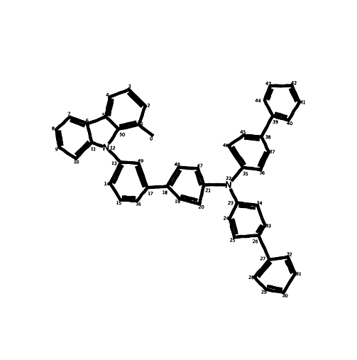 Cc1cccc2c3ccccc3n(-c3cccc(-c4ccc(N(c5ccc(-c6ccccc6)cc5)c5ccc(-c6ccccc6)cc5)cc4)c3)c12